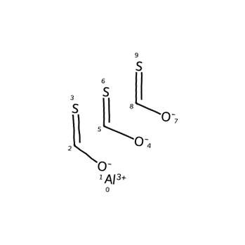 [Al+3].[O-]C=S.[O-]C=S.[O-]C=S